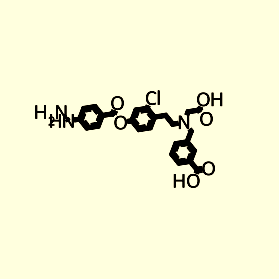 NNc1ccc(C(=O)Oc2ccc(CCN(CC(=O)O)Cc3cccc(C(=O)O)c3)c(Cl)c2)cc1